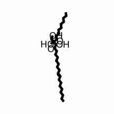 CCCCCCCCC=CCCCCCCCC(=O)C(O)C(O)(CO)C(=O)CCCCCCCCC